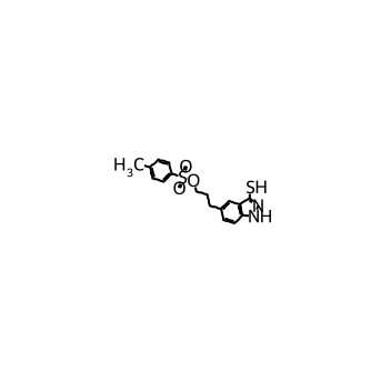 Cc1ccc(S(=O)(=O)OCCCc2ccc3[nH]nc(S)c3c2)cc1